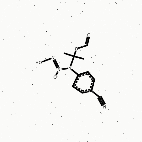 CC(C)(OC=O)N(c1ccc(C#N)cc1)/[N+]([O-])=N/O